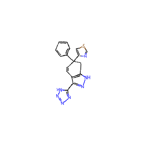 C1=CC(c2ccccc2)(c2cscn2)Cc2[nH]nc(-c3nnn[nH]3)c21